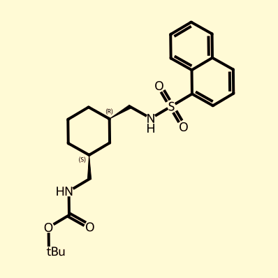 CC(C)(C)OC(=O)NC[C@H]1CCC[C@@H](CNS(=O)(=O)c2cccc3ccccc23)C1